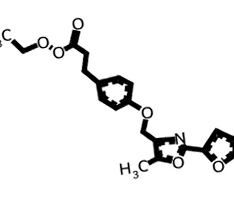 CCOOC(=O)CCc1ccc(OCc2nc(-c3ccco3)oc2C)cc1